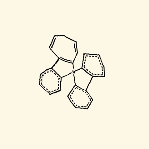 C1=CC2=C(C=CC1)[Si]1(c3ccccc32)c2ccccc2-c2ccccc21